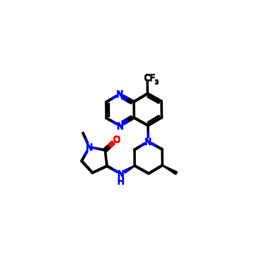 C[C@H]1C[C@@H](NC2CCN(C)C2=O)CN(c2ccc(C(F)(F)F)c3nccnc23)C1